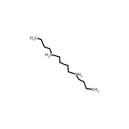 CCCC[SiH2]CCCC[SiH2]CCCC